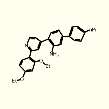 CCCc1ccc(-c2ccc(-c3ccnc(-c4ccc(OCC)cc4OCC)c3)c(N)c2)cc1